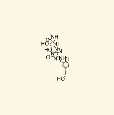 CNC(=O)[C@@]12C[C@@H]1[C@H](n1cnc3c(NCc4cc(C#CCO)ccc4Cl)nc(Cl)nc31)[C@H](O)[C@@H]2O